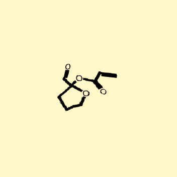 C=CC(=O)OC1(C=O)CCCO1